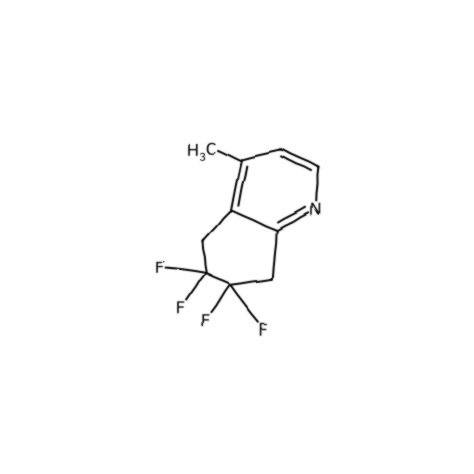 Cc1ccnc2c1CC(F)(F)C(F)(F)C2